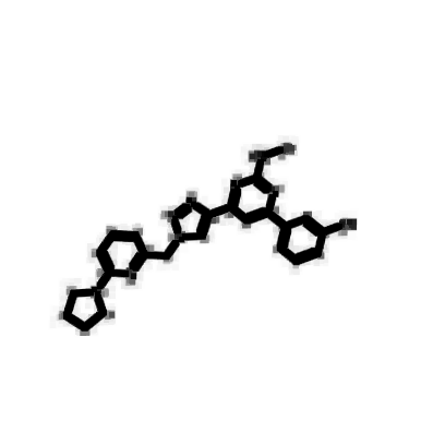 CC(C)Nc1nc(-c2cccc(C#N)c2)cc(-c2cn(Cc3cccc(N4CCCC4)n3)nn2)n1